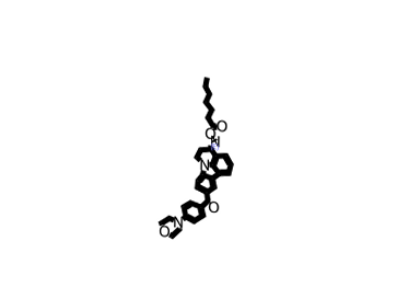 CCCCCCC(=O)O/N=C1\CCn2c3ccc(C(=O)c4ccc(N5CCOCC5)cc4)cc3c3cccc1c32